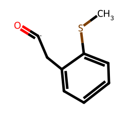 CSc1ccccc1C[C]=O